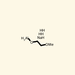 COCC[O][AlH2].[HH].[HH].[NaH]